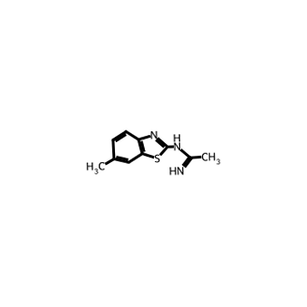 CC(=N)Nc1nc2ccc(C)cc2s1